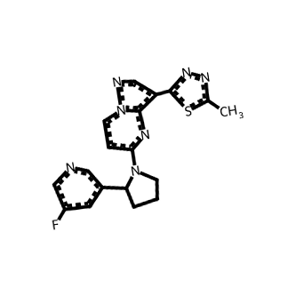 Cc1nnc(-c2cnn3ccc(N4CCCC4c4cncc(F)c4)nc23)s1